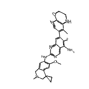 COc1cc2c(cc1Nc1ncc3c(N)c(F)c(-c4cnc5c(c4C)NCCO5)cc3n1)CN(C)CC21CC1